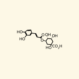 O=C(C=Cc1ccc(O)c(O)c1)O[C@@H]1C[C@@](O)(C(=O)O)C[C@@H](O)[C@H]1O